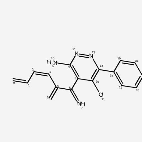 C=C/C=C\C(=C)C(=N)c1c(N)nnc(-c2ccccc2)c1Cl